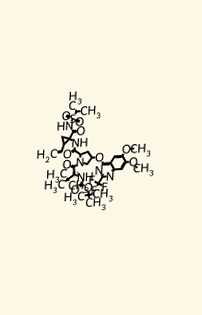 C=CC1CC1(NC(=O)C1CC(Oc2nc(C(F)(F)F)nc3cc(OC)c(OC)cc23)CN1C(=O)[C@@H](NC(=O)OC(C)(C)C)C(C)(C)C)C(=O)NS(=O)(=O)C(C)C